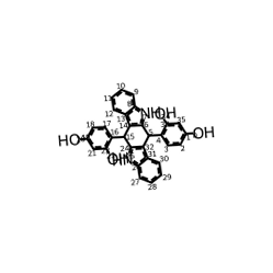 Oc1ccc(C2c3[nH]c4ccccc4c3C(c3ccc(O)cc3O)c3[nH]c4ccccc4c32)c(O)c1